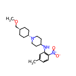 COC[C@H]1CC[C@H](N2CCC(Nc3cc(C)ccc3[N+](=O)[O-])CC2)CC1